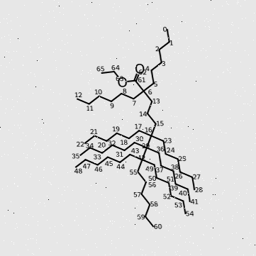 CCCCCCC(CCCCCC)(CCCC(CCCCCC)(CCCCCC)C(CCCCCC)(CCCCCC)C(CCCCCC)(CCCCCC)CCCCCC)C(=O)OCC